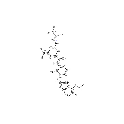 CCCc1c(F)cnc2cc(Cn3cccc(NC(=O)[C@H](CC/C=C/C(=O)N(C)C)OC(=O)N(C)C)c3=O)[nH]c12